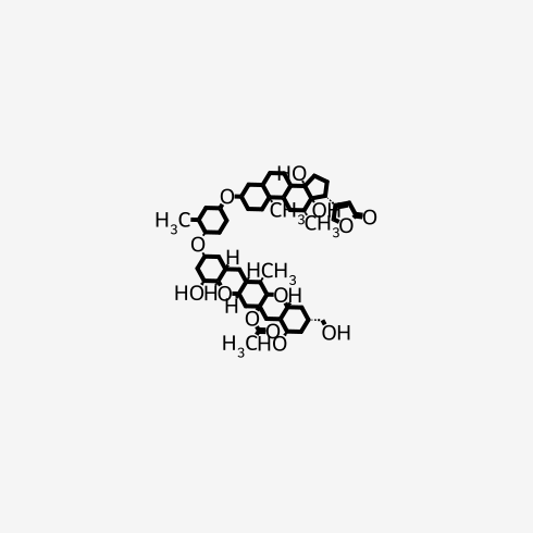 CC(=O)OC12CC3[C@H](O)C[C@@H](CO)C[C@H]3OC1[C@@H](C)[C@@H]1C[C@H]3C[C@@H](O[C@H]4CCC(OC5CC[C@@]6(C)C(CCC7C6C[C@@H](C)[C@]6(O)[C@@H](C8=CC(=O)OC8)CC[C@]76O)C5)CC4C)C[C@H](O)[C@@H]3O[C@H]1C2